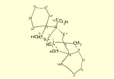 CCCCCCCCC1(C(C)(SC(C)(C(=O)O)C2(CCCCCCCC)CCCCC2)C(=O)O)CCCCC1